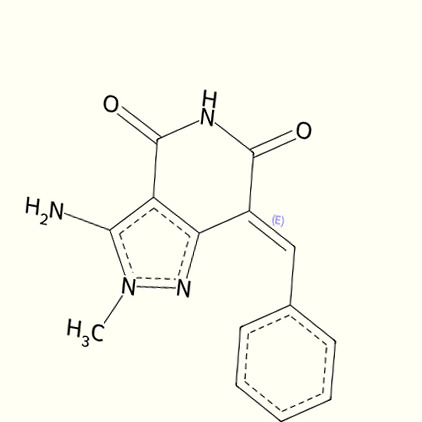 Cn1nc2c(c1N)C(=O)NC(=O)/C2=C/c1ccccc1